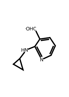 O=[C]c1cccnc1NC1CC1